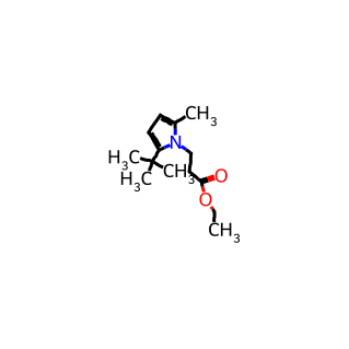 CCOC(=O)CCn1c(C)ccc1C(C)(C)C